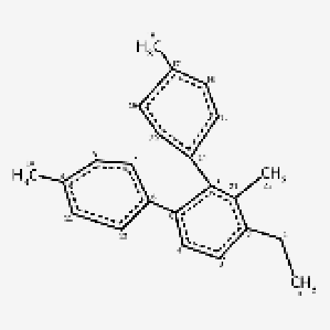 CCc1[c]cc(-c2ccc(C)cc2)c(-c2ccc(C)cc2)c1C